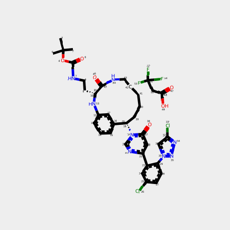 CC(C)(C)OC(=O)NCC[C@H]1Nc2cccc(c2)[C@@H](n2cnc(-c3cc(Cl)ccc3-n3cc(Cl)nn3)cc2=O)CCCCCNC1=O.O=C(O)CC(F)(F)F